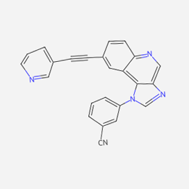 N#Cc1cccc(-n2cnc3cnc4ccc(C#Cc5cccnc5)cc4c32)c1